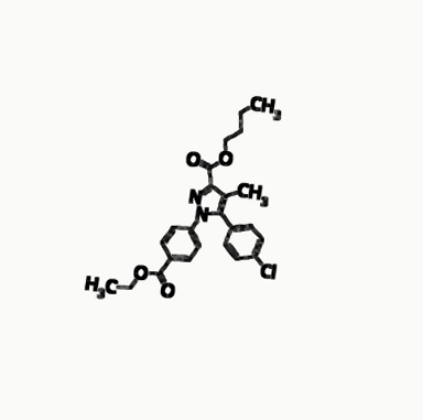 CCCCOC(=O)c1nn(-c2ccc(C(=O)OCC)cc2)c(-c2ccc(Cl)cc2)c1C